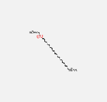 CCCCCCCCCCCCCCCCCCCCCCCCCCCCCCCOC(=O)CCCCCCCCCCC